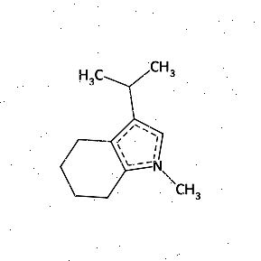 CC(C)c1cn(C)c2c1CCCC2